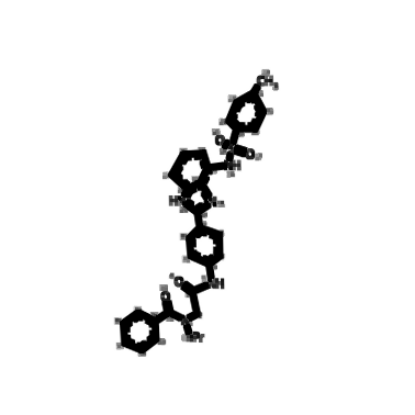 CCCN(CC(=O)Nc1ccc(-c2nc3c(NS(=O)(=O)c4ccc(C)cc4)cccc3[nH]2)cc1)C(=O)c1ccccc1